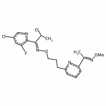 CO/N=C(\C)c1cccc(CCCO/N=C(/c2ncc(Cl)cc2F)C(C)Cl)n1